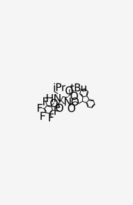 CC(C)CCN[C@]1(C(=O)Oc2c(F)c(F)c(F)c(F)c2F)C[C@@H](C(=O)OC(C)(C)C)N(C(=O)OCC2c3ccccc3-c3ccccc32)C1